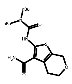 CCCCN(CCCC)C(=O)Nc1sc2c(c1C(N)=O)CCOC2